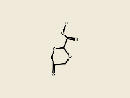 CCOC(=O)C1OCC(=O)CO1